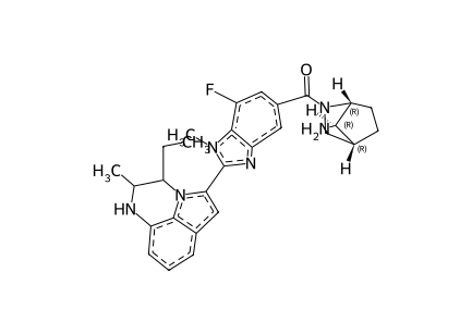 CCC1C(C)Nc2cccc3cc(-c4nc5cc(C(=O)N6C[C@H]7CC[C@@H]6[C@@H]7N)cc(F)c5n4C)n1c23